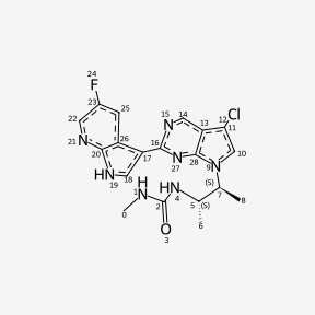 CNC(=O)N[C@@H](C)[C@H](C)n1cc(Cl)c2cnc(-c3c[nH]c4ncc(F)cc34)nc21